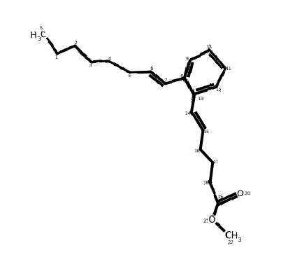 CCCCCCC=Cc1ccccc1C=CCCCC(=O)OC